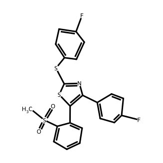 CS(=O)(=O)c1ccccc1-c1sc(Sc2ccc(F)cc2)nc1-c1ccc(F)cc1